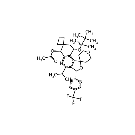 CC(=O)O[C@@H]1c2nc(C(C)C)c3c(c2[C@@H](O[Si](C)(C)C(C)(C)C)CC12CCC2)C1(CCOCC1)O[C@@H]3c1ccc(C(F)(F)F)cn1